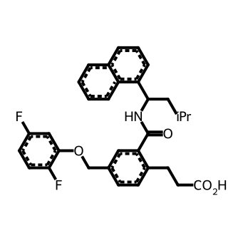 CC(C)CC(NC(=O)c1cc(COc2cc(F)ccc2F)ccc1CCC(=O)O)c1cccc2ccccc12